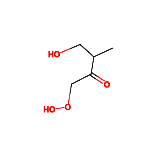 CC(CO)C(=O)COO